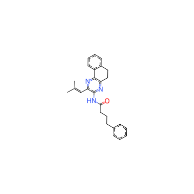 CC(C)=Cc1nc2c(nc1NC(=O)CCCc1ccccc1)CCc1ccccc1-2